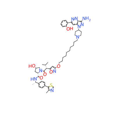 Cc1ncsc1-c1ccc([C@H](C)NC(=O)[C@@H]2C[C@@H](O)CN2C(=O)[C@@H](c2cc(OCCCCCCCCCCN3CCC(n4nc(N)c5nnc(-c6ccccc6O)cc54)CC3)no2)C(C)C)cc1